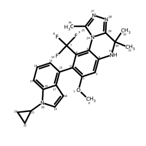 COc1cc2c(c(C(F)(F)F)c1-c1cccc3c1ccn3C1CC1)-n1c(C)nnc1C(C)(C)N2